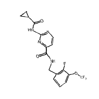 O=C(NCc1cccc(OC(F)(F)F)c1F)c1ccnc(NC(=O)C2CC2)n1